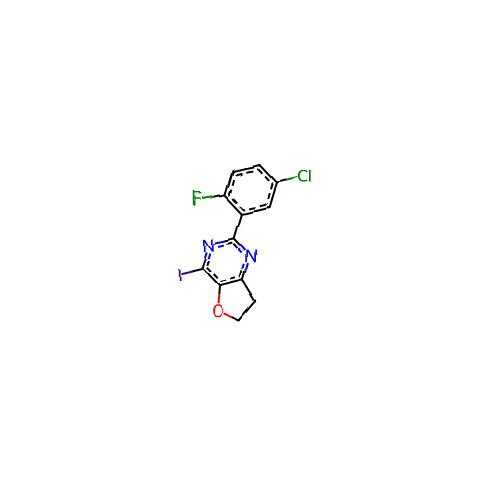 Fc1ccc(Cl)cc1-c1nc(I)c2c(n1)CCO2